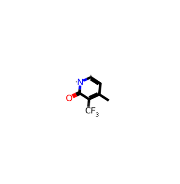 CC1=C(C(F)(F)F)C(=O)[N][C]=C1